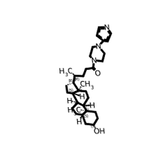 C[C@H](CCC(=O)N1CCN(c2ccncc2)CC1)[C@H]1CC[C@H]2[C@@H]3CC[C@H]4C[C@@H](O)CC[C@]4(C)[C@H]3CC[C@]12C